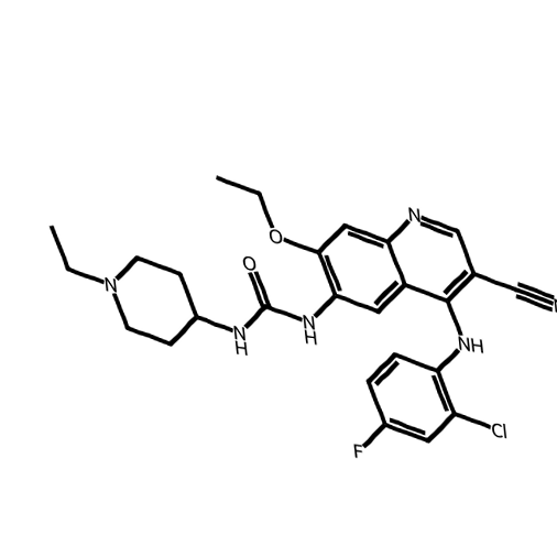 CCOc1cc2ncc(C#N)c(Nc3ccc(F)cc3Cl)c2cc1NC(=O)NC1CCN(CC)CC1